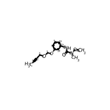 CC#CCOCOc1cccc(NC(=O)N(C)OC)c1